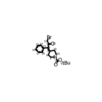 CC(C)(C)OC(=O)N1CCC(=C(C(=O)CBr)c2ccccc2)CC1